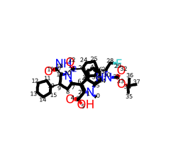 Cn1c(C(=O)O)c(C2C[C@@H](C3CCCCC3)[C@@H](C(N)=O)N2C(=O)[C@H]2CC[C@H](C(CF)NC(=O)OC(C)(C)C)CC2)c2ccccc21